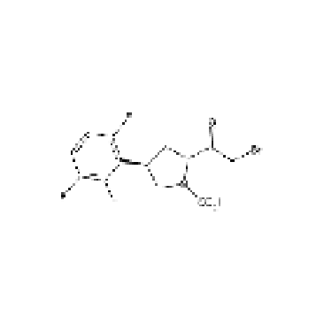 O=C(CBr)C1C[C@H](c2c(F)ccc(F)c2F)CN1C(=O)O